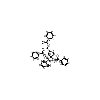 O=C(OC[C@H]1O[C@H](OC(=O)c2ccccc2)[C@@](O)(S(=O)(=O)c2ncc[nH]2)[C@@H]1OC(=O)c1ccccc1)c1ccccc1